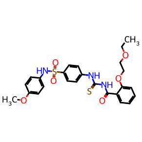 CCOCCOc1ccccc1C(=O)NC(=S)Nc1ccc(S(=O)(=O)Nc2ccc(OC)cc2)cc1